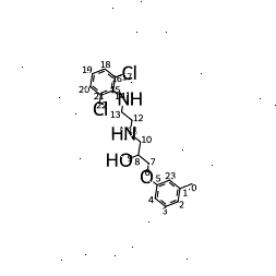 Cc1cccc(OCC(O)CNCCNc2c(Cl)cccc2Cl)c1